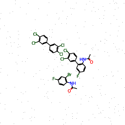 CC(=O)Nc1ccc(F)cc1-c1ccc(Cl)c(Cl)c1.CC(=O)Nc1ccc(F)cc1Br.Clc1ccc(-c2ccc(Cl)c(Cl)c2)cc1Cl